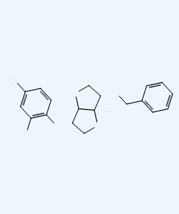 C[C@]12OC[C@H](Oc3ccc(N)cc3Cl)C1OC[C@@H]2OCc1ccccc1